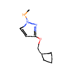 CPn1ccc(OCC2CCC2)n1